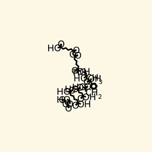 C=CC(=O)O.CC(O)CO.O=C(O)CCC(=O)O.O=C(O)CCCCC(=O)O.O=C(O)CCCCC(=O)OC(=O)CCCCC(=O)O.O=C(O)c1ccccc1.O=CO.O=COC=O